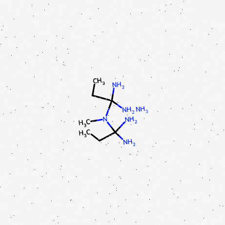 CCC(N)(N)N(C)C(N)(N)CC.N